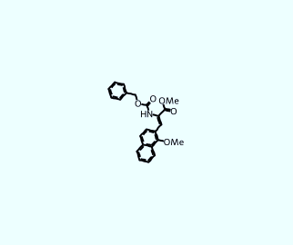 COC(=O)/C(=C/c1ccc2ccccc2c1OC)NC(=O)OCc1ccccc1